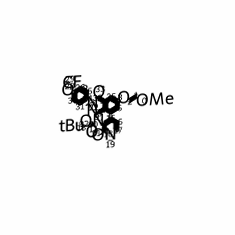 COCCOc1ccc2c(N(C(=O)OC(C)(C)C)c3cccn(C)c3=O)nn(-c3ccc(OC(F)(F)F)cc3)c(=O)c2c1